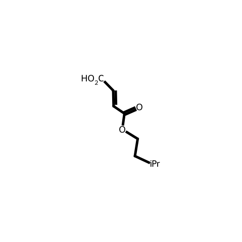 CC(C)CCOC(=O)/C=C/C(=O)O